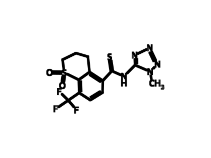 Cn1nnnc1NC(=S)c1ccc(C(F)(F)F)c2c1CCCS2(=O)=O